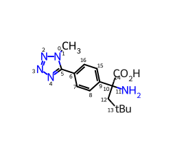 Cn1nnnc1-c1ccc(C(N)(CC(C)(C)C)C(=O)O)cc1